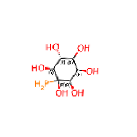 O[C@H]1[C@@H](O)[C@@H](O)[C@](O)(P)[C@@H](O)[C@@H]1O